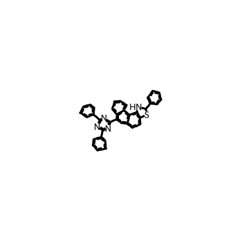 c1ccc(-c2nc(-c3ccccc3)nc(-c3cc4ccc5c(c4c4ccccc34)NC(c3ccccc3)S5)n2)cc1